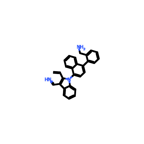 C=Cc1c(C=N)c2ccccc2n1-c1ccc(-c2ccccc2CN)c2ccccc12